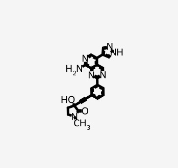 CN1CCC(O)(C#Cc2cccc(-c3ncc4c(-c5cn[nH]c5)cnc(N)c4n3)c2)C1=O